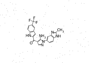 Cc1nc2cc(-n3ncc(C(=O)c4cc5cc(C(F)(F)F)ccc5[nH]4)c3N)ccc2[nH]1